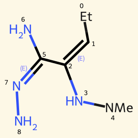 CC/C=C(NNC)\C(N)=N/N